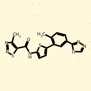 Cc1ccc(-c2nnco2)cc1-c1ccc(NC(=O)c2snnc2C)s1